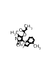 C=CC(=O)Oc1c(C)nn(C)c1-n1ccc2c(C)cccc21